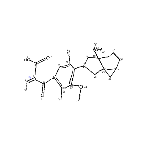 C/C=C(/C(=O)O)C(=O)c1cc(F)c(N2CC3(N)CCC4CC43C2)c(OC)c1C